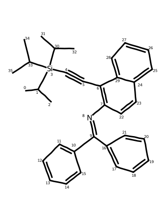 CC(C)[Si](C#Cc1c(N=C(c2ccccc2)c2ccccc2)ccc2ccccc12)(C(C)C)C(C)C